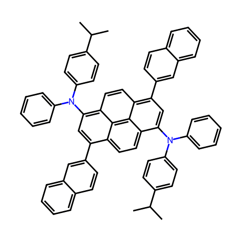 CC(C)c1ccc(N(c2ccccc2)c2cc(-c3ccc4ccccc4c3)c3ccc4c(N(c5ccccc5)c5ccc(C(C)C)cc5)cc(-c5ccc6ccccc6c5)c5ccc2c3c54)cc1